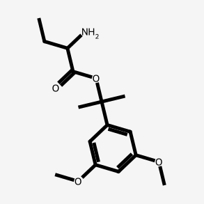 CCC(N)C(=O)OC(C)(C)c1cc(OC)cc(OC)c1